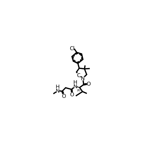 CNC(=O)CC(=O)N[C@@H](C(=O)N1CCC(c2ccc(Cl)cc2)C(C)(C)C1)C(C)C